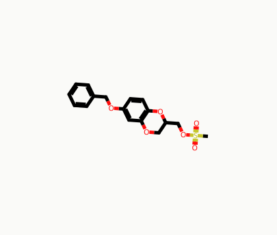 CS(=O)(=O)OCC1COc2cc(OCc3ccccc3)ccc2O1